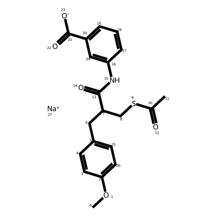 COc1ccc(CC(CSC(C)=O)C(=O)Nc2cccc(C(=O)[O-])c2)cc1.[Na+]